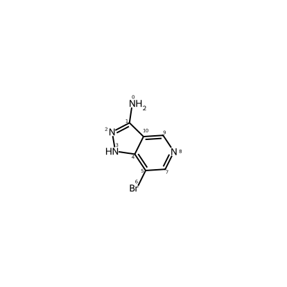 Nc1n[nH]c2c(Br)cncc12